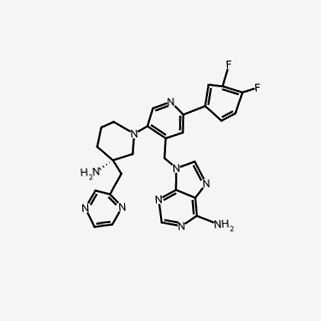 Nc1ncnc2c1ncn2Cc1cc(-c2ccc(F)c(F)c2)ncc1N1CCC[C@](N)(Cc2cnccn2)C1